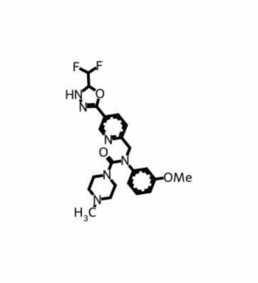 COc1cccc(N(Cc2ccc(C3=NNC(C(F)F)O3)cn2)C(=O)N2CCN(C)CC2)c1